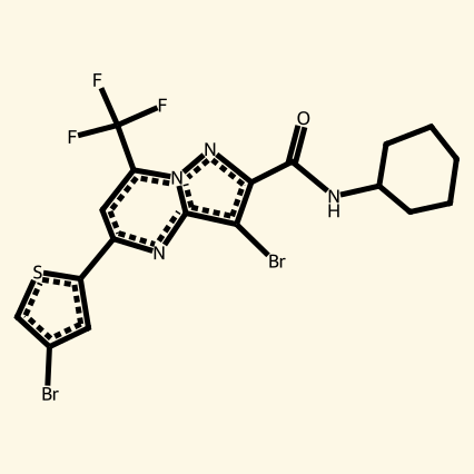 O=C(NC1CCCCC1)c1nn2c(C(F)(F)F)cc(-c3cc(Br)cs3)nc2c1Br